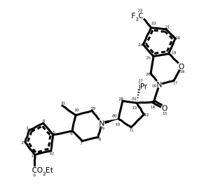 CCOC(=O)c1cccc(C2CCN([C@@H]3CC[C@@](C(=O)N4COc5ccc(C(F)(F)F)cc5C4)(C(C)C)C3)CC2C)c1